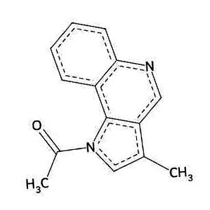 CC(=O)n1cc(C)c2cnc3ccccc3c21